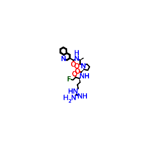 C[C@H](NC(=O)c1cnc2ccccc2c1)C(=O)N1CCC[C@H]1C(=O)N[C@@H](CCCNC(=N)N)C(=O)CF